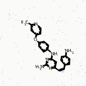 Nc1ccc(/C=C\c2cc(Nc3ccc(Oc4ccnc(C(F)(F)F)c4)cc3)nc(N)n2)cc1